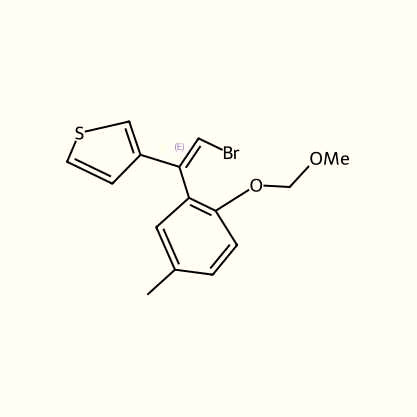 COCOc1ccc(C)cc1/C(=C\Br)c1ccsc1